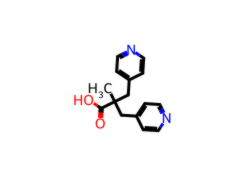 CC(Cc1ccncc1)(Cc1ccncc1)C(=O)O